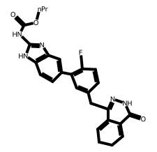 CCCOC(=O)Nc1nc2cc(-c3cc(Cc4n[nH]c(=O)c5c4=CCCC=5)ccc3F)ccc2[nH]1